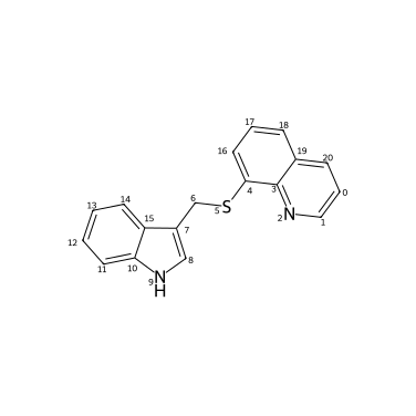 c1cnc2c(SCc3c[nH]c4ccccc34)cccc2c1